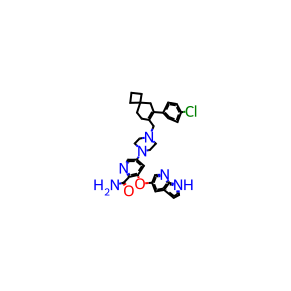 NC(=O)c1ncc(N2CCN(CC3=C(c4ccc(Cl)cc4)CC4(CCC4)CC3)CC2)cc1Oc1cnc2[nH]ccc2c1